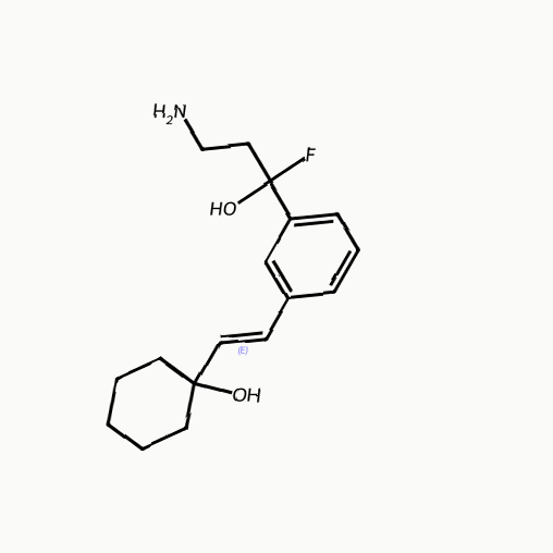 NCCC(O)(F)c1cccc(/C=C/C2(O)CCCCC2)c1